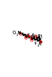 CCc1cc(OC(F)(F)F)cc2c1O[C@H](C(F)(F)F)C(C(=O)OCOC(=O)CCCO[N+](=O)[O-])=C2